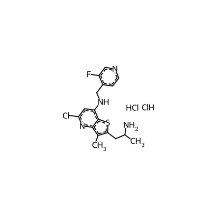 Cc1c(CC(C)N)sc2c(NCc3ccncc3F)cc(Cl)nc12.Cl.Cl